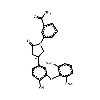 COc1cccc(OC)c1Oc1cc([C@H]2CC(=O)N(c3cccc(C(N)=O)c3)C2)ccc1C#N